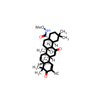 [C-]#[N+]C1=C[C@]2(C)[C@H]3CC(=O)[C@@H]4[C@@H]5CC(C)(C)CC[C@]5(C(=O)NOC)CC[C@@]4(C)[C@]3(C)CC[C@H]2C(C)(C)C1=O